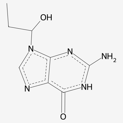 CCC(O)n1cnc2c(=O)[nH]c(N)nc21